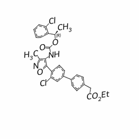 CCOC(=O)Cc1ccc(-c2ccc(-c3onc(C)c3NC(=O)O[C@H](C)c3ccccc3Cl)c(Cl)c2)cc1